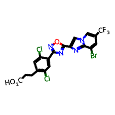 O=C(O)CCc1cc(Cl)c(-c2noc(-c3cn4cc(C(F)(F)F)cc(Br)c4n3)n2)cc1Cl